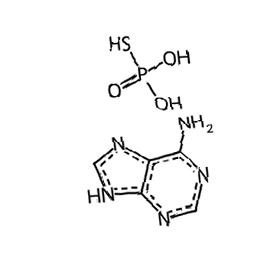 Nc1ncnc2[nH]cnc12.O=P(O)(O)S